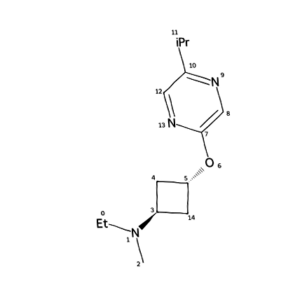 CCN(C)[C@H]1C[C@H](Oc2cnc(C(C)C)cn2)C1